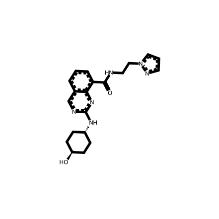 O=C(NCCn1cccn1)c1cccc2cnc(N[C@H]3CC[C@H](O)CC3)nc12